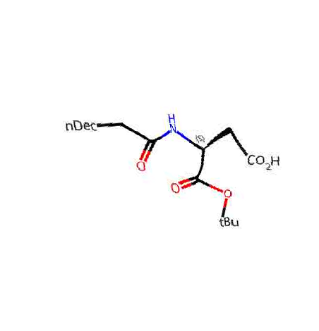 CCCCCCCCCCCC(=O)N[C@@H](CC(=O)O)C(=O)OC(C)(C)C